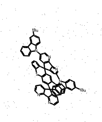 CC(C)(C)c1ccc2c(c1)c1ccccc1n2-c1cnc2c(c1)C1(c3ccccc3Sc3cc4c(cc31)-c1ccccc1C41c3cccnc3-c3ncccc31)c1cc(-n3c4ccccc4c4cc(C(C)(C)C)ccc43)cnc1-2